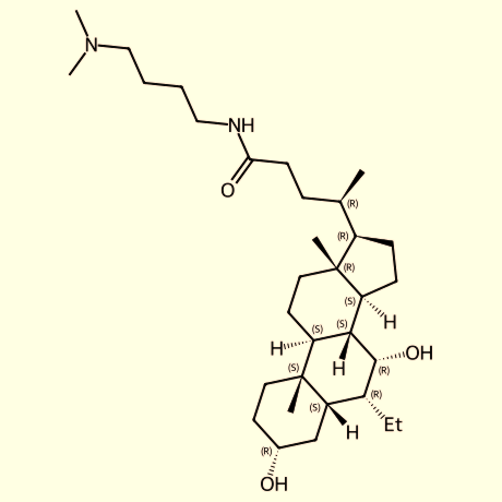 CC[C@H]1[C@@H](O)[C@@H]2[C@H](CC[C@]3(C)[C@@H]([C@H](C)CCC(=O)NCCCCN(C)C)CC[C@@H]23)[C@@]2(C)CC[C@@H](O)C[C@@H]12